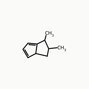 CC1CC2C=CC=C2C1C